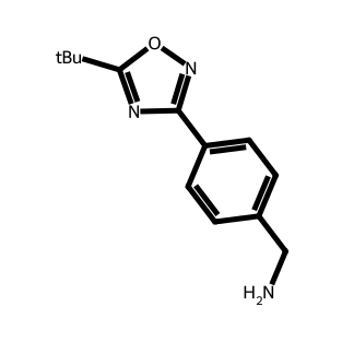 CC(C)(C)c1nc(-c2ccc(CN)cc2)no1